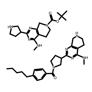 CCCCCc1ccc(C(=O)N2CCC(c3nc4c(c(NC)n3)CCNC4)C2)cc1.CNc1nc(C2CCNC2)nc2c1CCN(C(=O)OC(C)(C)C)C2